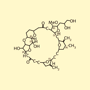 C=C1C2C[C@@H]3OC(CC(O)CO)[C@H](OC)C3CC(=O)CC3CCC4OC5C(O[C@H](CC(=O)CCC6CC(=C)[C@H](CCC(C[C@H]1C)O2)O6)C5O)[C@@H](O)[C@H]4O3